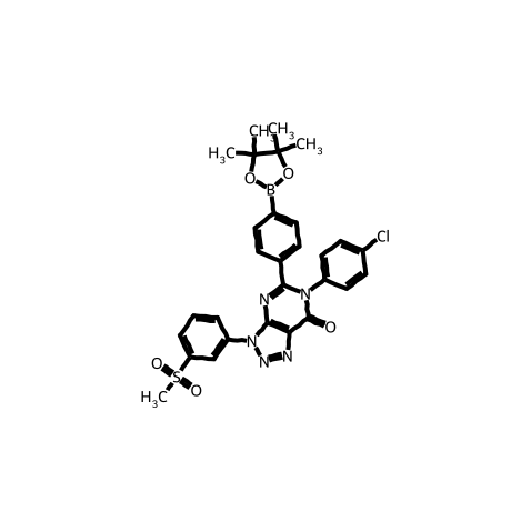 CC1(C)OB(c2ccc(-c3nc4c(nnn4-c4cccc(S(C)(=O)=O)c4)c(=O)n3-c3ccc(Cl)cc3)cc2)OC1(C)C